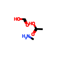 CC(=O)O.CN.O=CO